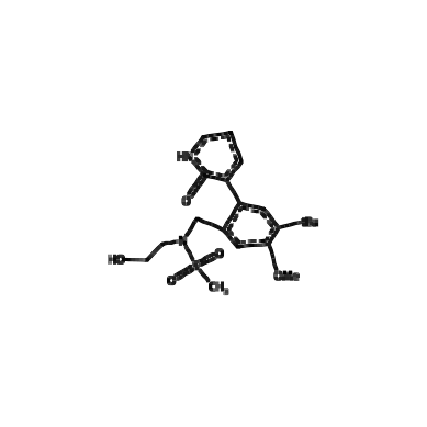 COc1cc(CN(CCO)S(C)(=O)=O)c(-c2ccc[nH]c2=O)cc1C(C)(C)C